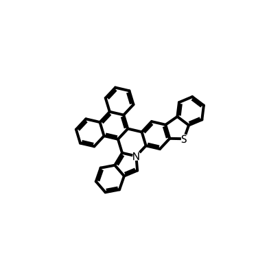 c1ccc2c(c1)cn1c3cc4sc5ccccc5c4cc3c3c4ccccc4c4ccccc4c3c21